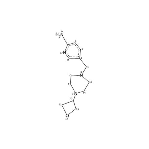 Nc1ccc(CN2CCN(C3COC3)CC2)cn1